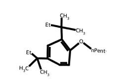 CCCC[CH]Oc1ccc(C(C)(C)CC)cc1C(C)(C)CC